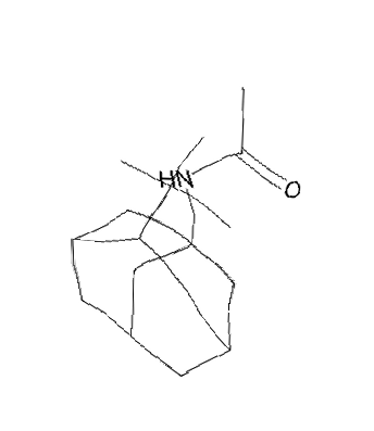 CC(=O)NC12CC3CC(C1)C(C(C)(C)C)C(C3)C2